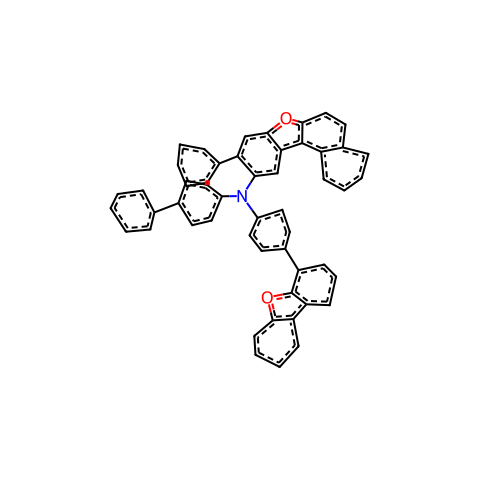 c1ccc(-c2ccc(N(c3ccc(-c4cccc5c4oc4ccccc45)cc3)c3cc4c(cc3-c3ccccc3)oc3ccc5ccccc5c34)cc2)cc1